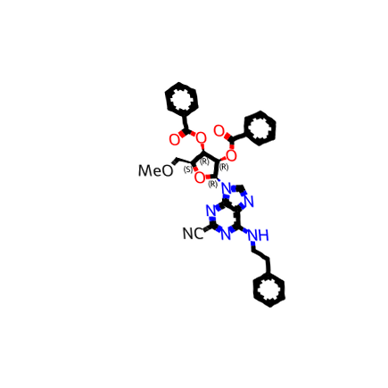 COC[C@@H]1O[C@@H](n2cnc3c(NCCc4ccccc4)nc(C#N)nc32)[C@H](OC(=O)c2ccccc2)[C@@H]1OC(=O)c1ccccc1